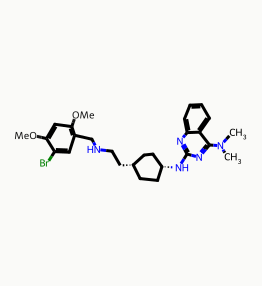 COc1cc(OC)c(CNCC[C@H]2CC[C@@H](Nc3nc(N(C)C)c4ccccc4n3)CC2)cc1Br